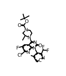 Cc1ccnc(C(F)F)c1-n1c(=O)nc(N2CCN(C(=O)OC(C)(C)C)CC2C)c2cc(F)c(Cl)nc21